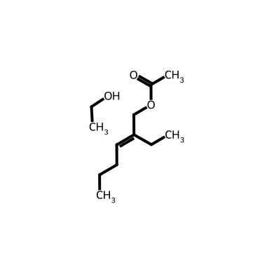 CCC/C=C(\CC)COC(C)=O.CCO